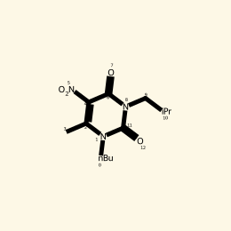 CCCCn1c(C)c([N+](=O)[O-])c(=O)n(CC(C)C)c1=O